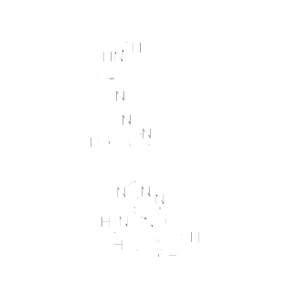 CC[C@@H](C)C(C)Oc1nc(N)c2ncc(Cc3cnc(N4CCN(C(=O)CNC)CC4)c(C)c3)n2n1